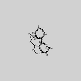 CCCCNC.c1ccc(-c2ccccc2)cc1